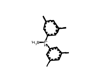 [BH3-][PH+](c1cc(C)cc(C)c1)c1cc(C)cc(C)c1